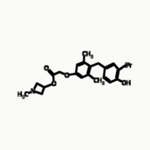 Cc1cc(OCC(=O)OC2CN(C)C2)cc(C)c1Cc1ccc(O)c(C(C)C)c1